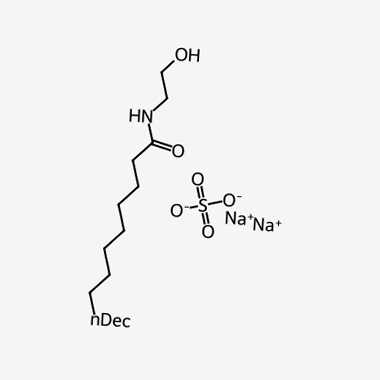 CCCCCCCCCCCCCCCCCC(=O)NCCO.O=S(=O)([O-])[O-].[Na+].[Na+]